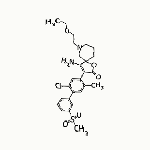 CCOCCN1CCCC2(C1)OC(=O)C(c1cc(Cl)c(-c3cccc(S(C)(=O)=O)c3)cc1C)=C2N